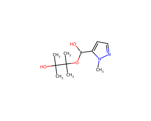 Cn1nccc1B(O)OC(C)(C)C(C)(C)O